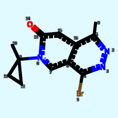 Cc1nnc(Br)c2cn(C3(C)CC3)c(=O)cc12